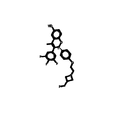 CC1=C(c2cc(F)c(F)c(F)c2)[C@@H](c2ccc(OCCN3CC(CF)C3)cc2)Oc2ccc(O)cc21